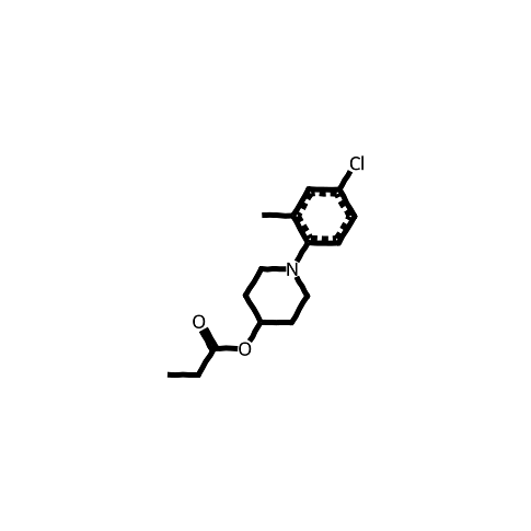 CCC(=O)OC1CCN(c2ccc(Cl)cc2C)CC1